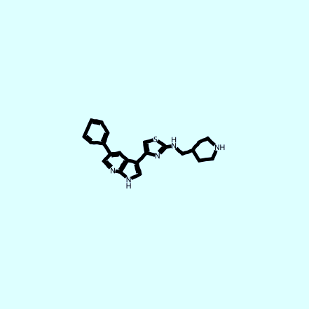 c1ccc(-c2cnc3[nH]cc(-c4csc(NCC5CCNCC5)n4)c3c2)cc1